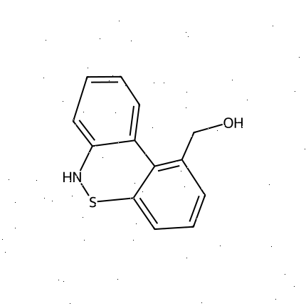 OCc1cccc2c1-c1ccccc1NS2